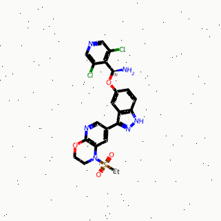 CCS(=O)(=O)N1CCOc2ncc(-c3n[nH]c4ccc(O[C@H](N)c5c(Cl)cncc5Cl)cc34)cc21